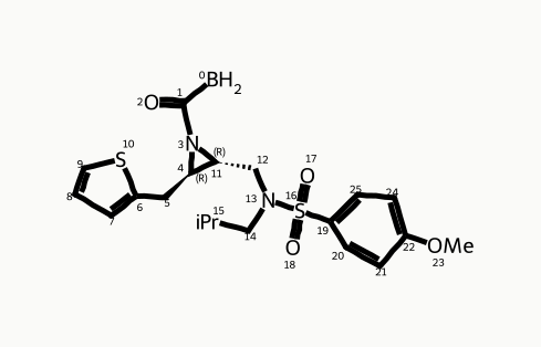 BC(=O)N1[C@H](Cc2cccs2)[C@H]1CN(CC(C)C)S(=O)(=O)c1ccc(OC)cc1